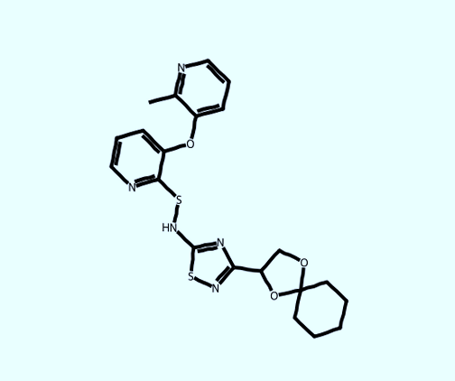 Cc1ncccc1Oc1cccnc1SNc1nc(C2COC3(CCCCC3)O2)ns1